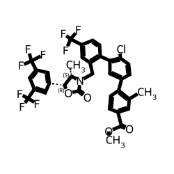 COC(=O)c1ccc(-c2ccc(Cl)c(-c3ccc(C(F)(F)F)cc3CN3C(=O)O[C@H](c4cc(C(F)(F)F)cc(C(F)(F)F)c4)[C@@H]3C)c2)c(C)c1